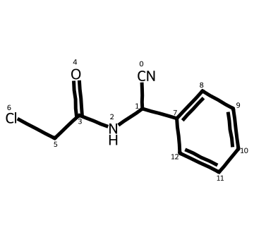 N#CC(NC(=O)CCl)c1ccccc1